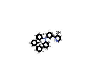 N#Cc1cccnc1-c1cccc(N2c3ccccc3[Si](c3ccccc3)(c3ccccc3)c3ccccc32)c1